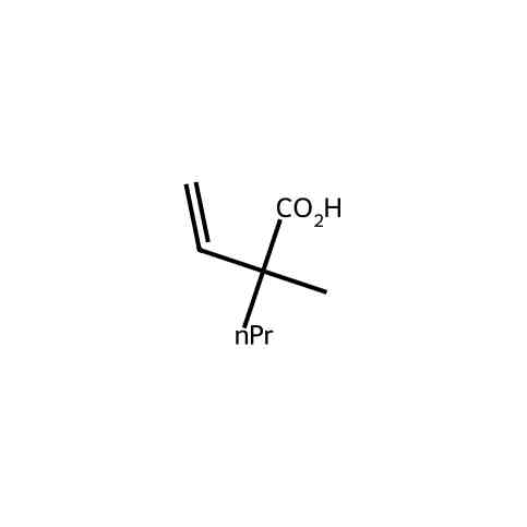 C=CC(C)(CCC)C(=O)O